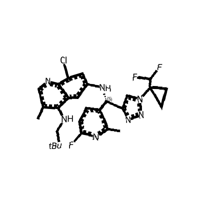 Cc1cnc2c(Cl)cc(N[C@H](c3cn(C4(C(F)F)CC4)nn3)c3ccc(F)nc3C)cc2c1NCC(C)(C)C